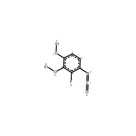 CCOc1ccc(N=C=O)c(F)c1OCC